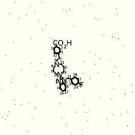 O=C(O)c1ccc(CCN2CCCN(c3nc4ccccc4n3Cc3ccc(F)cc3)CCC2)cc1